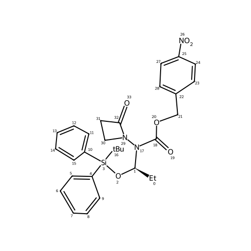 CC[C@@H](O[Si](c1ccccc1)(c1ccccc1)C(C)(C)C)N(C(=O)OCc1ccc([N+](=O)[O-])cc1)N1CCC1=O